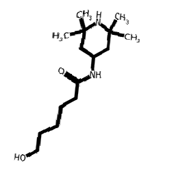 CC1(C)CC(NC(=O)CCCCCO)CC(C)(C)N1